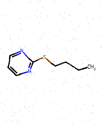 CCCCSc1ncccn1